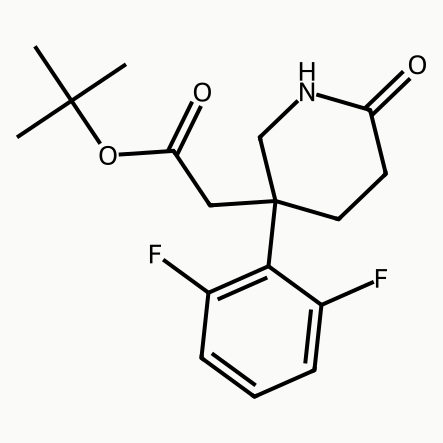 CC(C)(C)OC(=O)CC1(c2c(F)cccc2F)CCC(=O)NC1